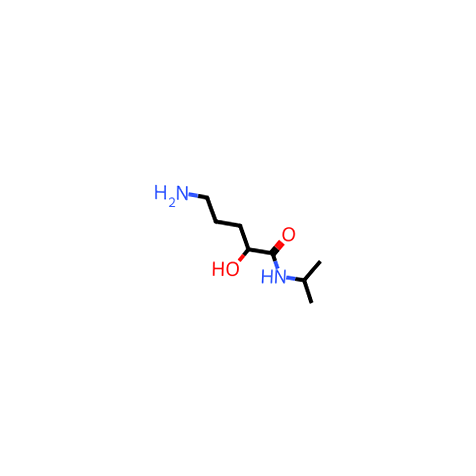 CC(C)NC(=O)C(O)CCCN